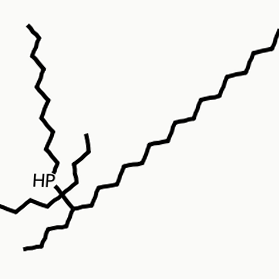 CCCCCCCCCCCCCCCCC(CCCC)C(CCCC)(CCCC)PCCCCCCCCCC